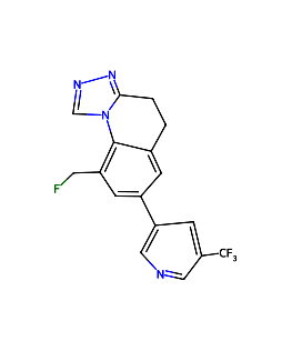 FCc1cc(-c2cncc(C(F)(F)F)c2)cc2c1-n1cnnc1CC2